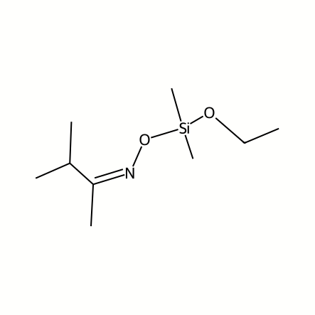 CCO[Si](C)(C)ON=C(C)C(C)C